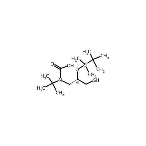 CC(C)(C)N(C[C@@H](CS)O[Si](C)(C)C(C)(C)C)C(=O)O